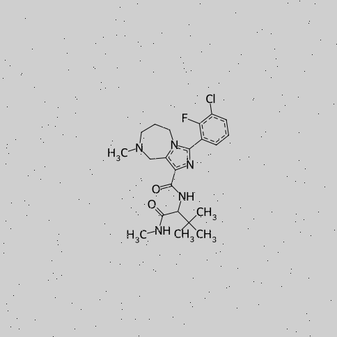 CNC(=O)C(NC(=O)c1nc(-c2cccc(Cl)c2F)n2c1CN(C)CCC2)C(C)(C)C